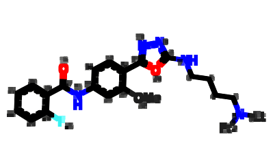 CCN(CC)CCCCNc1nnc(-c2ccc(NC(=O)c3ccccc3F)cc2OC)o1